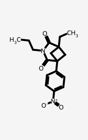 CCCN1C(=O)C2(CC)CC(c3ccc([N+](=O)[O-])cc3)(C2)C1=O